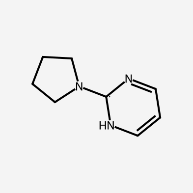 C1=CN[C](N2CCCC2)N=C1